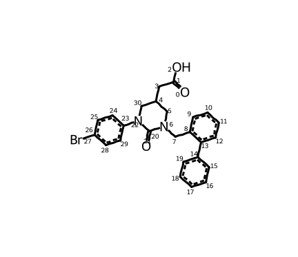 O=C(O)CC1CN(Cc2ccccc2-c2ccccc2)C(=O)N(c2ccc(Br)cc2)C1